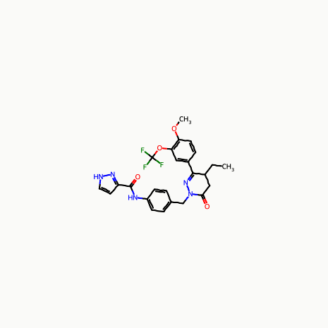 CCC1CC(=O)N(Cc2ccc(NC(=O)c3cc[nH]n3)cc2)N=C1c1ccc(OC)c(OC(F)(F)F)c1